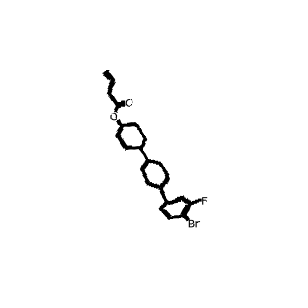 C=CCC(=O)OC1CCC(C2CCC(c3ccc(Br)c(F)c3)CC2)CC1